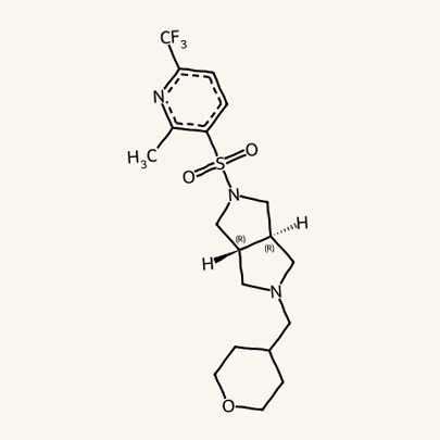 Cc1nc(C(F)(F)F)ccc1S(=O)(=O)N1C[C@H]2CN(CC3CCOCC3)C[C@@H]2C1